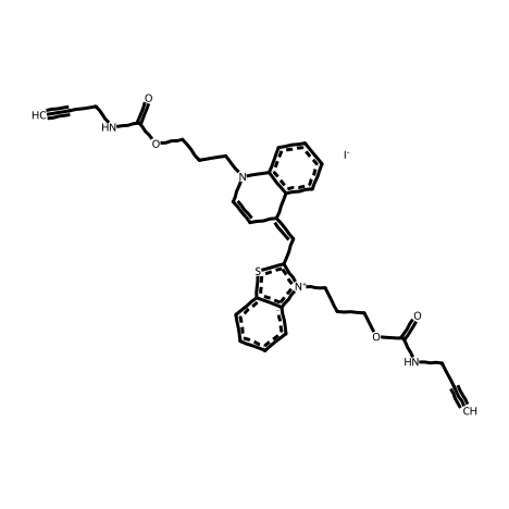 C#CCNC(=O)OCCCN1C=CC(=Cc2sc3ccccc3[n+]2CCCOC(=O)NCC#C)c2ccccc21.[I-]